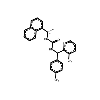 C[C@H](NC(=O)NC(c1ccc(C(F)(F)F)cc1)c1ncccc1C(F)(F)F)c1cccc2ccccc12